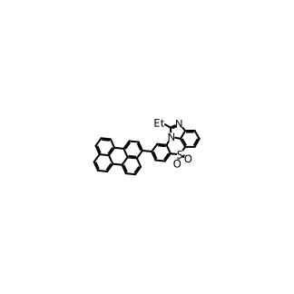 CCc1nc2cccc3c2n1-c1cc(-c2ccc4c5cccc6cccc(c7cccc2c74)c65)ccc1S3(=O)=O